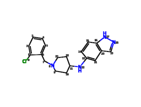 Clc1ccccc1CN1CCC(Nc2ccc3[nH]ncc3c2)CC1